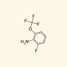 Nc1c(OC(F)(F)F)[c]ccc1F